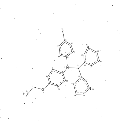 CCOc1ccc(N(c2ccc(F)cc2)C(c2cccnc2)c2cccnc2)cn1